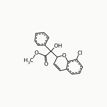 COC(=O)C(O)(c1ccccc1)C1C=Cc2cccc(Cl)c2O1